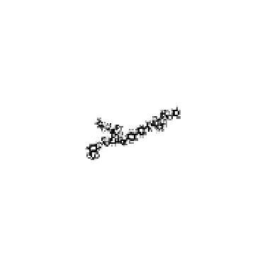 CC(C)C(NC(=O)OC1CCCC1)C(=O)N1CCC[C@H]1c1nc(-c2ccc(-c3ccc(-c4cnc([C@@H]5C[C@@H](OC(=O)N6Cc7ccc8c(c7C6)OCO8)CN5C(=O)C(NC(=O)OC5CCCC5)C(C)C)[nH]4)cc3)cc2)c[nH]1